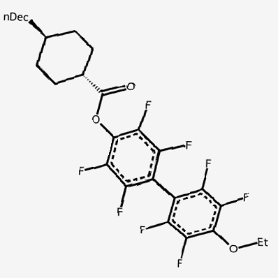 CCCCCCCCCC[C@H]1CC[C@H](C(=O)Oc2c(F)c(F)c(-c3c(F)c(F)c(OCC)c(F)c3F)c(F)c2F)CC1